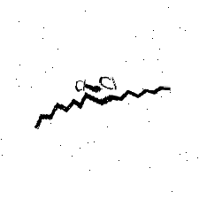 CCCCCCCCCCCCCCCCC.ClCCl